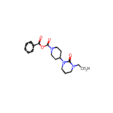 O=C(O)CN1CCCN(C2CCN(C(=O)OC(=O)c3ccccc3)CC2)C1=O